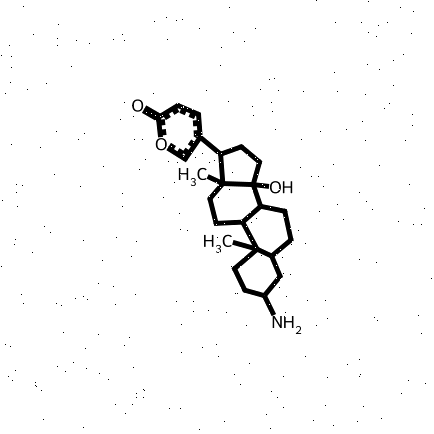 CC12CCC(N)CC1CCC1C2CCC2(C)C(c3ccc(=O)oc3)CCC12O